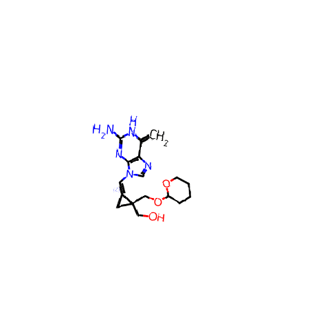 C=C1NC(N)=Nc2c1ncn2/C=C1/CC1(CO)COC1CCCCO1